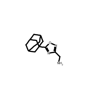 NCc1noc(C23CC4CC(CC(C4)C2)C3)n1